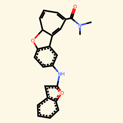 CN(C)C(=O)C1=CC=CC2Oc3ccc(Nc4cc5ccccc5o4)cc3C2=C1